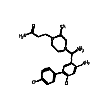 N#CC1CN(C(N)c2cc(-c3ccc(Cl)cc3)c(Cl)cc2N)CCN1CCC(N)=O